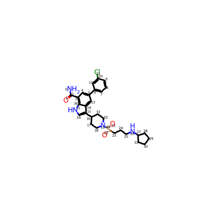 NC(=O)c1cc(-c2cccc(Cl)c2)cc2c(C3CCN(S(=O)(=O)CCCNC4CCCC4)CC3)c[nH]c12